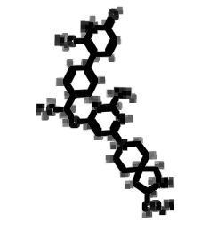 Cc1[nH]c(=O)ccc1-c1ccc([C@@H](Oc2cc(N3CCC4(CC3)CNC(C(=O)O)C4)nc(N)n2)C(F)(F)F)cc1